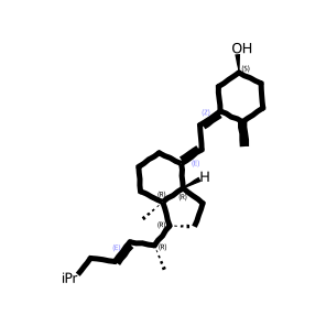 C=C1CC[C@H](O)C/C1=C/C=C1\CCC[C@]2(C)[C@@H]([C@H](C)/C=C/CC(C)C)CC[C@@H]12